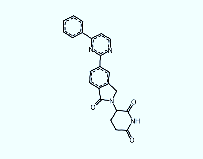 O=C1CCC(N2Cc3cc(-c4nccc(-c5ccccc5)n4)ccc3C2=O)C(=O)N1